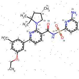 CCOc1cc(C)cc(-c2ccc(C(=O)NS(=O)(=O)c3cccc(N)n3)c(N3C[C@@H](C)CC3(C)C)n2)c1